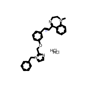 CN1CCN=C(/C=C/c2cccc(OCc3nccn3Cc3ccccc3)c2)c2ccccc21.Cl.Cl